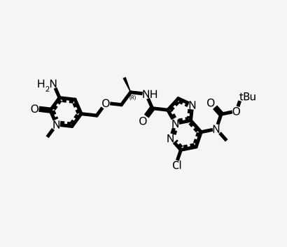 C[C@H](COCc1cc(N)c(=O)n(C)c1)NC(=O)c1cnc2c(N(C)C(=O)OC(C)(C)C)cc(Cl)nn12